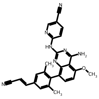 COc1ccc(-c2c(C)cc(C=CC#N)cc2C)c2nc(Nc3ccc(C#N)cn3)nc(N)c12